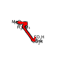 CCCCCCCCCCCN(C(=O)CCCCCCCCCC(=O)O)C(CCC(=O)NCCOCCOCCOCCOCCOCCOCCOCCOCCOCCOCCOCCOCCC(=O)N[C@@H](C)CC(=O)OC(C)(C)c1ccc(C(=O)Nc2cc(F)cc(-c3ncnc4[nH]c(-c5ccc(CCN6CCC7(CC6)CCN(C(=O)c6ccc(OC)c(N8CCC(=O)NC8=O)c6)CC7)cc5)cc34)c2C)c(F)c1)C(=O)O